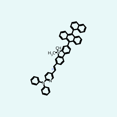 C[Si]1(C)c2cc(/C=C/c3ccc(N(c4ccccc4)c4ccccc4)nc3)ccc2-c2ccc(-c3c4ccccc4c(-c4cccc5ccccc45)c4ccccc34)cc21